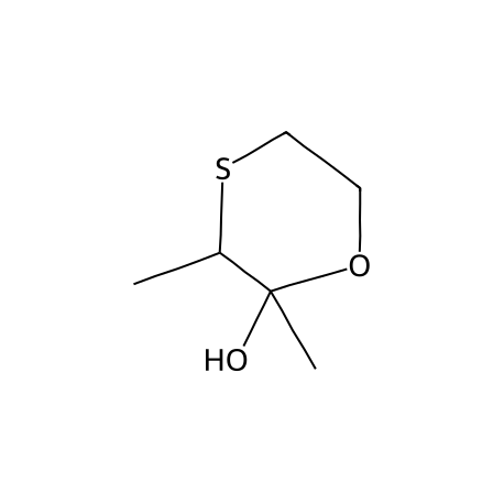 CC1SCCOC1(C)O